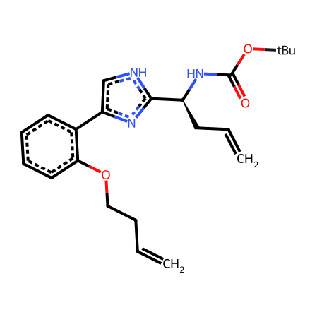 C=CCCOc1ccccc1-c1c[nH]c([C@H](CC=C)NC(=O)OC(C)(C)C)n1